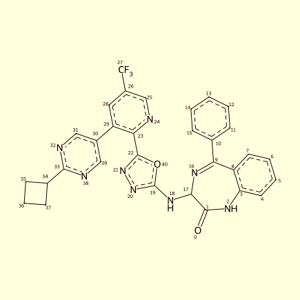 O=C1Nc2ccccc2C(c2ccccc2)=NC1Nc1nnc(-c2ncc(C(F)(F)F)cc2-c2cnc(C3CCC3)nc2)o1